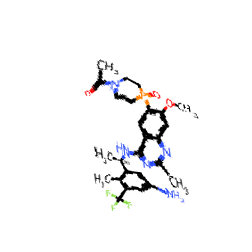 COc1cc2nc(C)nc(N[C@H](C)c3cc(N)cc(C(F)(F)F)c3C)c2cc1P1(=O)CCN(C(C)=O)CC1